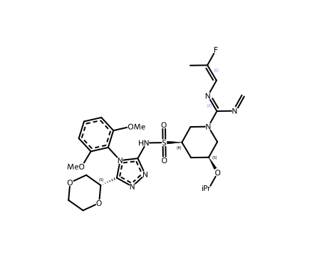 C=N/C(=N\C=C(/C)F)N1C[C@@H](OC(C)C)C[C@@H](S(=O)(=O)Nc2nnc([C@H]3COCCO3)n2-c2c(OC)cccc2OC)C1